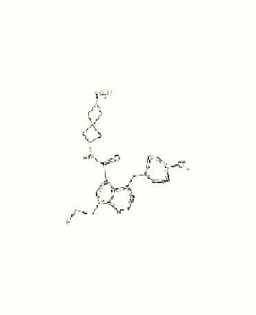 O=C(N[C@H]1CC2(C1)C[C@H](C(=O)O)C2)c1cn(CCF)c2nccc(Cc3ccc(C(F)(F)F)cc3)c12